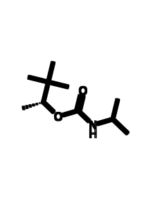 CC(C)NC(=O)O[C@H](C)C(C)(C)C